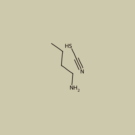 CCCCN.N#CS